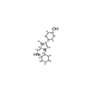 CN1C(c2ccc(O)cc2)=CN2C1=CNc1ccccc12